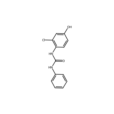 O=C(Nc1ccccc1)Nc1ccc(O)cc1Cl